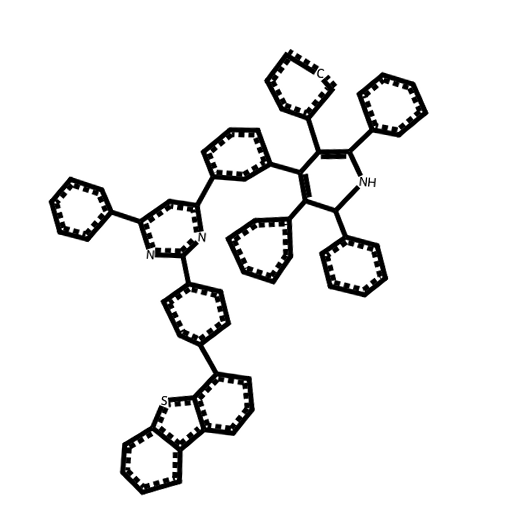 c1ccc(C2=C(c3ccccc3)C(c3cccc(-c4cc(-c5ccccc5)nc(-c5ccc(-c6cccc7c6sc6ccccc67)cc5)n4)c3)=C(c3ccccc3)C(c3ccccc3)N2)cc1